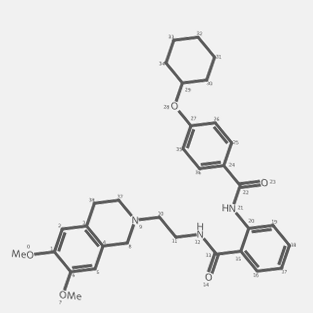 COc1cc2c(cc1OC)CN(CCNC(=O)c1ccccc1NC(=O)c1ccc(OC3CCCCC3)cc1)CC2